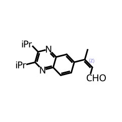 C/C(=C/C=O)c1ccc2nc(C(C)C)c(C(C)C)nc2c1